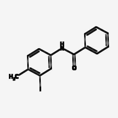 Cc1ccc(NC(=O)c2ccccc2)cc1I